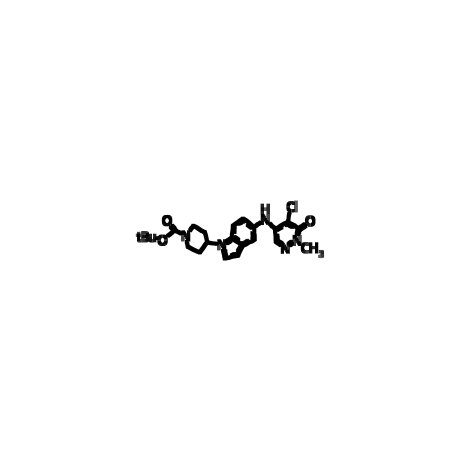 Cn1ncc(Nc2ccc3c(ccn3C3CCN(C(=O)OC(C)(C)C)CC3)c2)c(Cl)c1=O